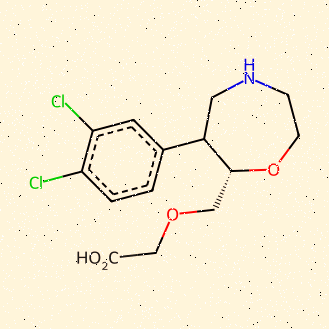 O=C(O)COC[C@H]1OCCNCC1c1ccc(Cl)c(Cl)c1